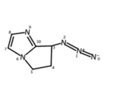 [N-]=[N+]=NC1CCn2ccnc21